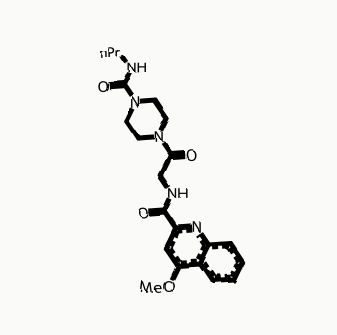 CCCNC(=O)N1CCN(C(=O)CNC(=O)c2cc(OC)c3ccccc3n2)CC1